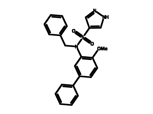 COc1ccc(-c2ccccc2)cc1N(Cc1ccccc1)S(=O)(=O)c1cn[nH]c1